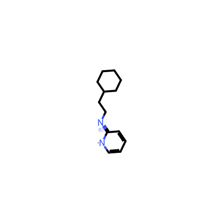 C1=C[N]/C(=N/CCC2CCCCC2)C=C1